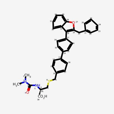 CN(C)C(=O)N[C@@H](CSCc1ccc(-c2ccc(-c3c(Cc4ccccc4)oc4ccccc34)cc2)cc1)C(=O)O